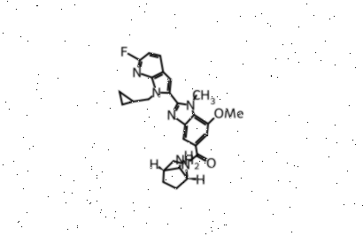 COc1cc(C(=O)N2C[C@H]3CC[C@@H]2[C@@H]3N)cc2nc(-c3cc4ccc(F)nc4n3CC3CC3)n(C)c12